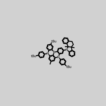 Cc1cc2c3c(c1)N(c1ccc(C(C)(C)C)cc1)c1cc(N4c5ccccc5C5(C)CCc6ccccc6C45C)ccc1B3c1cc(C(C)(C)C)ccc1N2c1ccc(C(C)(C)C)cc1